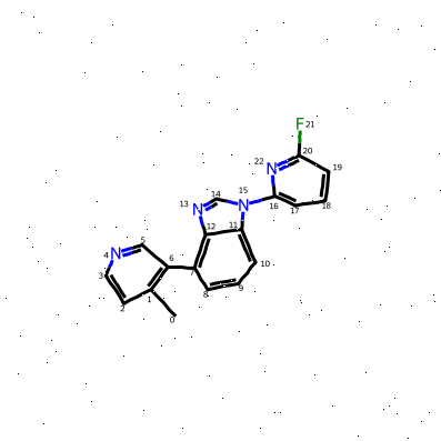 Cc1ccncc1-c1cccc2c1ncn2-c1cccc(F)n1